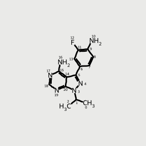 CC(C)n1nc(-c2ccc(N)c(F)c2)c2c(N)ncnc21